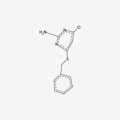 Nc1nc(Cl)cc(SCc2ccccc2)n1